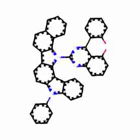 c1ccc(-n2c3ccccc3c3c2ccc2c4ccc5ccccc5c4n(-c4nc5c6c(cccc6n4)Oc4ccccc4-5)c23)cc1